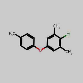 Cc1cc(Oc2[c]cc(C(F)(F)F)cc2)cc(C)c1Cl